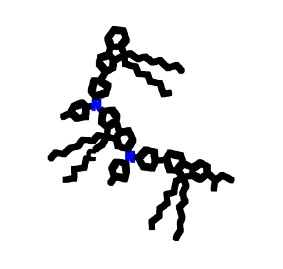 CCCCCCCCC1(CCCCCCCC)c2ccccc2-c2ccc(-c3ccc(N(c4ccc(C)cc4)c4ccc5c(c4)C(CCCCCCCC)(CCCCCCCC)c4cc(N(c6ccc(C)cc6)c6ccc(-c7ccc8c(c7)C(CCCCCCCC)(CCCCCCCC)c7cc(C(C)CC)ccc7-8)cc6)ccc4-5)cc3)cc21